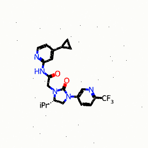 CC(C)[C@H]1CN(c2ccc(C(F)(F)F)nc2)C(=O)N1CC(=O)Nc1cc(C2CC2)ccn1